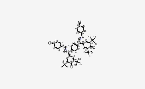 CC(C)(C)C1=CC(=C(/N=N/c2ccc(Cl)cc2)c2ccc(C(/N=N/c3ccc(Cl)cc3)=C3C=C(C(C)(C)C)C(=O)C(C(C)(C)C)=C3)nc2)C=C(C(C)(C)C)C1=O